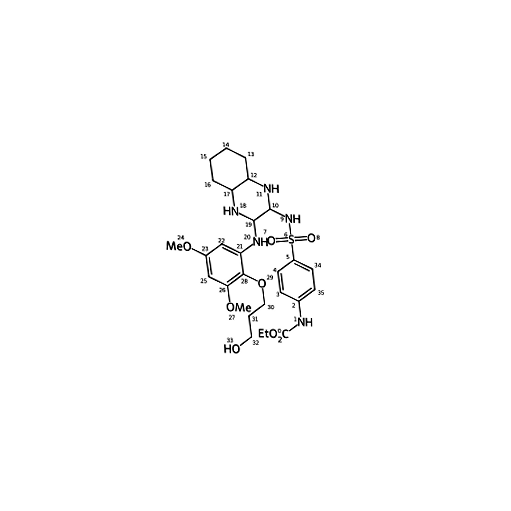 CCOC(=O)Nc1ccc(S(=O)(=O)NC2NC3CCCCC3NC2Nc2cc(OC)cc(OC)c2OCCCO)cc1